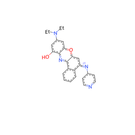 CCN(CC)c1cc(O)c2nc3c4ccccc4/c(=N\c4ccncc4)cc-3oc2c1